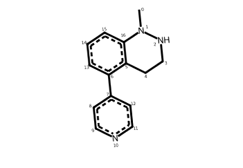 CN1NCCc2c(-c3ccncc3)cccc21